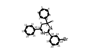 CC1(c2ccccc2)CC(c2ccccc2)=NC(c2cccc(Br)c2)=N1